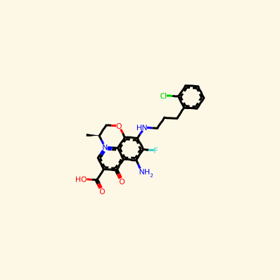 C[C@H]1COc2c(NCCCc3ccccc3Cl)c(F)c(N)c3c(=O)c(C(=O)O)cn1c23